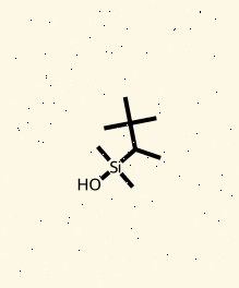 CC(C(C)(C)C)[Si](C)(C)O